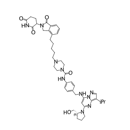 CC(C)c1cnn2c(NCc3ccc(NC(=O)N4CCN(CCCCCc5cccc6c5CN(C5CCC(=O)NC5=O)C6=O)CC4)cc3)cc(N3CCC[C@@H]3CO)nc12